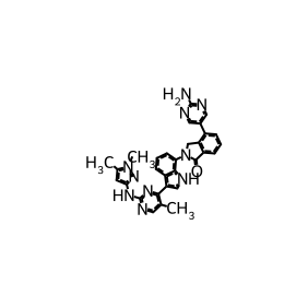 Cc1cnc(Nc2cc(C)n(C)n2)nc1-c1c[nH]c2c(N3Cc4c(cccc4-c4cnc(N)nc4)C3=O)cccc12